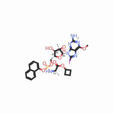 COc1nc(N)nc2c1nc(I)n2[C@@H]1O[C@H](COP(=O)(N[C@@H](C)C(=O)OC2CCC2)Oc2cccc3ccccc23)[C@@H](O)[C@@]1(C)O